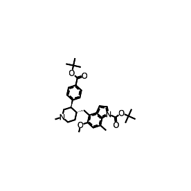 COc1cc(C)c2c(ccn2C(=O)OC(C)(C)C)c1C[C@@H]1CCN(C)C[C@H]1c1ccc(C(=O)OC(C)(C)C)cc1